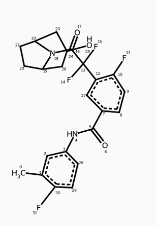 Cc1cc(NC(=O)c2ccc(F)c(C(F)(F)C(=O)N3C4CCC3CC(O)C4)c2)ccc1F